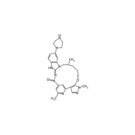 Cc1cc2cc(n1)-c1cnn(C)c1OCCCC(C)CN1/C(=N/C2=O)Nc2ccc(N3CCNCC3)cc21